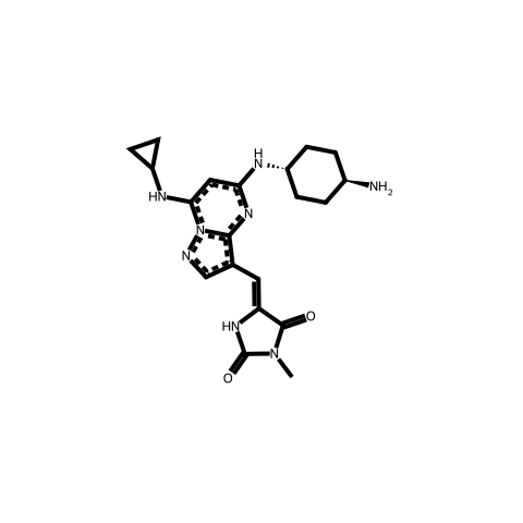 CN1C(=O)N/C(=C\c2cnn3c(NC4CC4)cc(N[C@H]4CC[C@H](N)CC4)nc23)C1=O